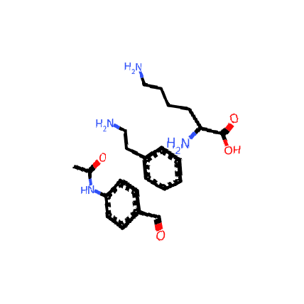 CC(=O)Nc1ccc(C=O)cc1.NCCCCC(N)C(=O)O.NCCc1ccccc1